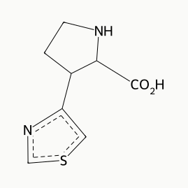 O=C(O)C1NCCC1c1cscn1